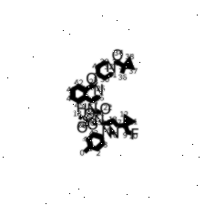 Cc1ccc(-n2nc(C3(CF)CC3)cc2N(OS(C)(=O)=O)C(=O)Nc2cnc(OC3CCN(C(=O)C4(C)CC4)CC3)c3ccccc23)cc1